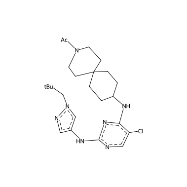 CC(=O)N1CCC2(CCC(Nc3nc(Nc4cnn(CC(C)(C)C)c4)ncc3Cl)CC2)CC1